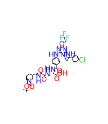 CC(C)(C)OC(=O)N1CCCC(CNC(=O)C(=O)NC[C@H](NC(=O)c2ccc(Nc3nc(NC4(c5ccc(Cl)cc5)CC4)nc(OCC(F)(F)F)n3)cc2)C(=O)O)C1